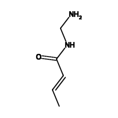 CC=CC(=O)NCN